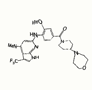 CNc1cc(Nc2ccc(C(=O)N3CCC(N4CCOCC4)CC3)cc2OC)nc2[nH]cc(C(F)(F)F)c12